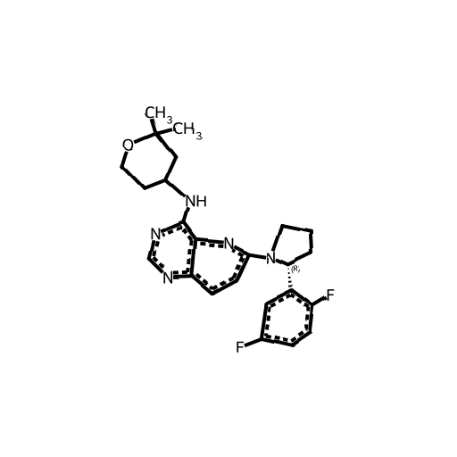 CC1(C)CC(Nc2ncnc3ccc(N4CCC[C@@H]4c4cc(F)ccc4F)nc23)CCO1